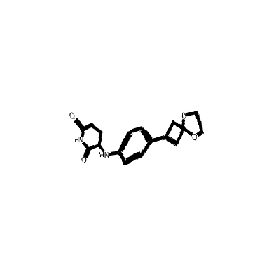 O=C1CCC(Nc2ccc(C3CC4(C3)OCCO4)cc2)C(=O)N1